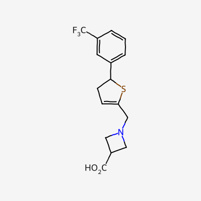 O=C(O)C1CN(CC2=CCC(c3cccc(C(F)(F)F)c3)S2)C1